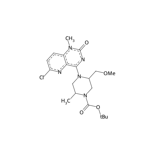 COCC1CN(C(=O)OC(C)(C)C)C(C)CN1c1nc(=O)n(C)c2ccc(Cl)nc12